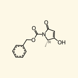 C[C@H]1C(O)=CC(=O)N1C(=O)OCc1ccccc1